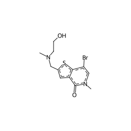 CN(CCO)Cc1cc2c(=O)n(C)cc(Br)c2s1